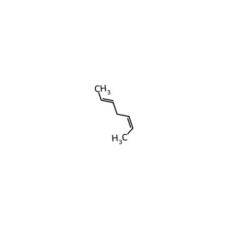 CC=CC/C=C\C